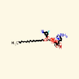 CCCCCCCCCCCCCCCCCCCOC[C@H](COP(=O)(O)OC[C@@]1(C)O[C@@H](c2ccc3c(N)ncnn23)[C@H](O)[C@@H]1O)OCc1cc(F)cc(C#N)c1